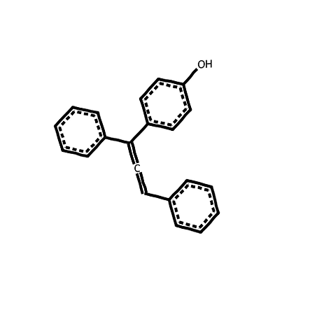 Oc1ccc(C(=C=Cc2ccccc2)c2ccccc2)cc1